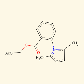 CC(=O)OCOC(=O)c1ccccc1-n1c(C)ccc1C